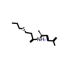 C=C(C)/C=C/[C@H](C)NC(=C)CCSCCC